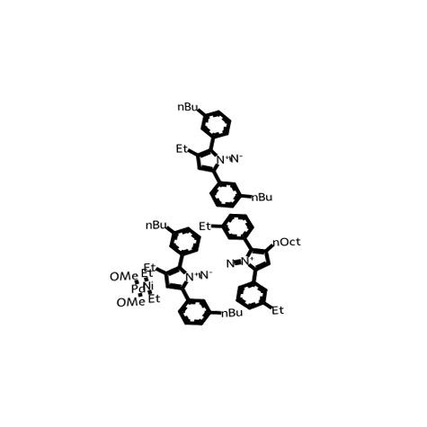 CCCCCCCCC1=C(c2cccc(CC)c2)[N+](=[N-])C(c2cccc(CC)c2)=C1.CCCCc1cccc(C2=CC(CC)=C(c3cccc(CCCC)c3)[N+]2=[N-])c1.CCCCc1cccc(C2=CC(CC)=C(c3cccc(CCCC)c3)[N+]2=[N-])c1.C[CH2][Ni][CH2]C.C[O][Pd][O]C